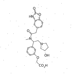 CN(C(=O)Cc1ccc2oc(=O)[nH]c2c1)C(CN1CC[C@H](O)C1)c1cccc(OCC(=O)O)c1